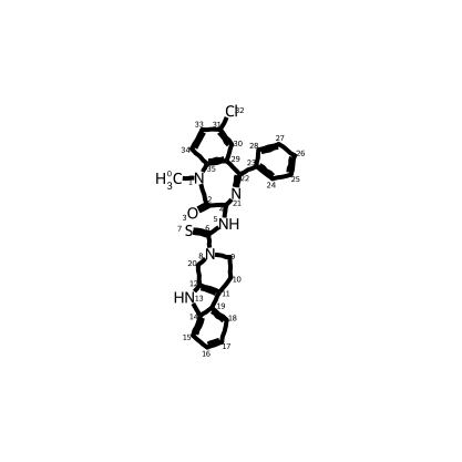 CN1C(=O)C(NC(=S)N2CCc3c([nH]c4ccccc34)C2)N=C(c2ccccc2)c2cc(Cl)ccc21